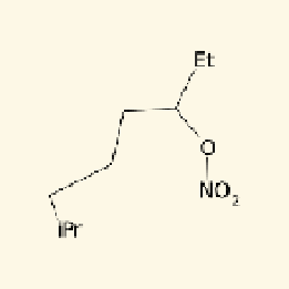 CCC(CCCC(C)C)O[N+](=O)[O-]